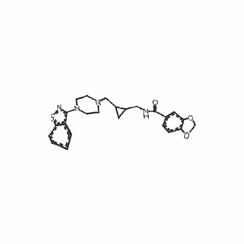 O=C(NCC1CC1CN1CCN(c2nsc3ccccc23)CC1)c1ccc2c(c1)OCO2